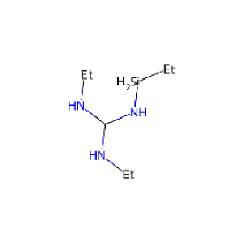 CCNC(NCC)N[SiH2]CC